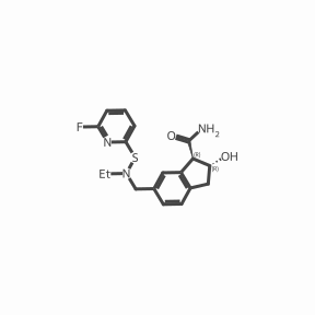 CCN(Cc1ccc2c(c1)[C@@H](C(N)=O)[C@H](O)C2)Sc1cccc(F)n1